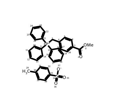 COC(=O)c1ccc(C[P+](c2ccccc2)(c2ccccc2)c2ccccc2)cc1.Cc1ccc(S(=O)(=O)[O-])cc1